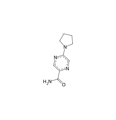 NC(=O)c1cnc(N2C[CH]CC2)cn1